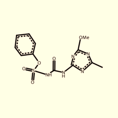 COc1nc(C)nc(NC(=O)NS(=O)(=O)Oc2ccccc2)n1